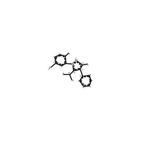 Cc1ccc(F)cc1-n1nc(C)c(-c2ccccc2)c1C(C)C